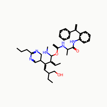 C=C(NC(C)C(=O)Nc1ccccc1C(=C)c1ccccc1)OC(NC)C(=C\C)/C(=C\C(CC)CO)C1C=NC(CCC)=NC1